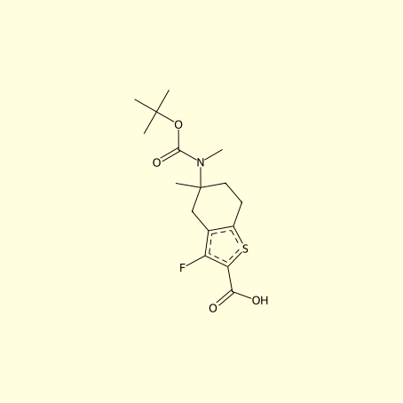 CN(C(=O)OC(C)(C)C)C1(C)CCc2sc(C(=O)O)c(F)c2C1